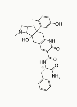 Cc1ccc(O)cc1C12Cc3[nH]c(=O)c(C(=O)N[C@@H](Cc4ccccc4)C(N)=O)cc3CC1(O)C1C(CN1C)C2